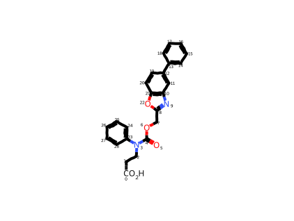 O=C(O)CCN(C(=O)OCc1nc2cc(-c3ccccc3)ccc2o1)c1ccccc1